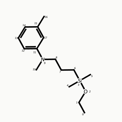 CCO[Si](C)(C)CCCN(C)c1cccc(C)c1